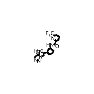 Cc1cnnn1C[C@@H](C)c1cccc(NC(=O)c2cccc(C(F)(F)F)n2)c1